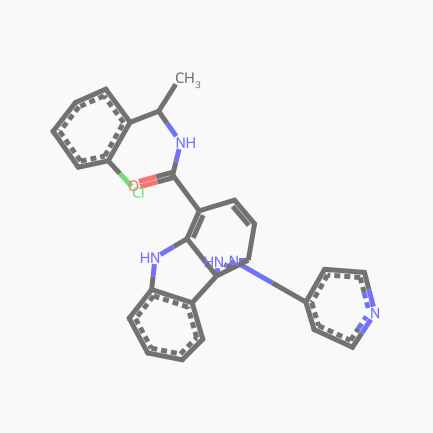 CC(NC(=O)C1=C2Nc3ccccc3C23NCN(c2ccncc2)C3C=C1)c1ccccc1Cl